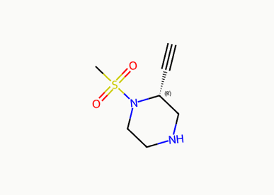 C#C[C@@H]1CNCCN1S(C)(=O)=O